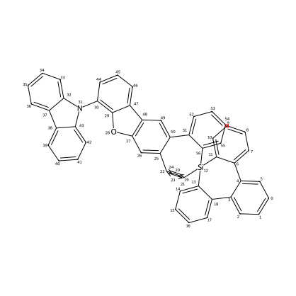 c1ccc2c(c1)-c1ccccc1[Si]1(c3ccccc3-2)c2ccccc2-c2cc3oc4c(-n5c6ccccc6c6ccccc65)cccc4c3cc2-c2ccccc21